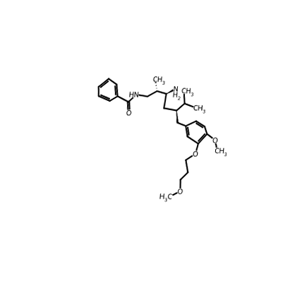 COCCCOc1cc(C[C@@H](C[C@H](N)[C@@H](C)CNC(=O)c2ccccc2)C(C)C)ccc1OC